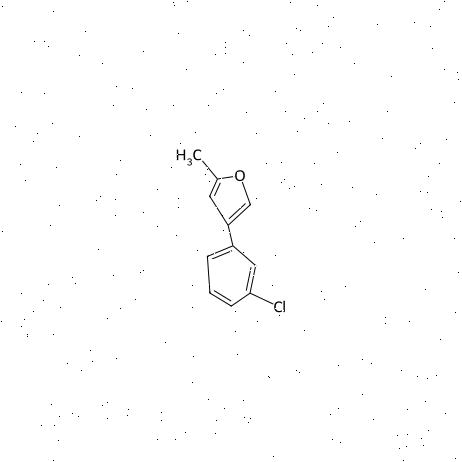 Cc1cc(-c2cccc(Cl)c2)co1